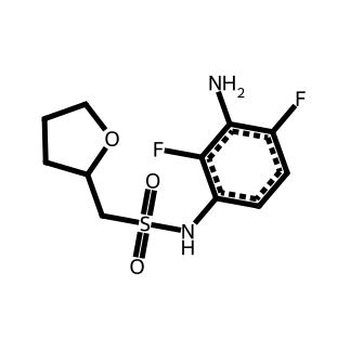 Nc1c(F)ccc(NS(=O)(=O)CC2CCCO2)c1F